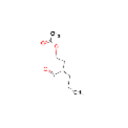 CCCC([C]=O)CCOC(C)=O